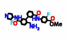 COC(=O)c1ccc(NC(=O)c2cccc(-c3cc(C(=O)Nc4ccncc4F)ccc3CN)c2)cc1F